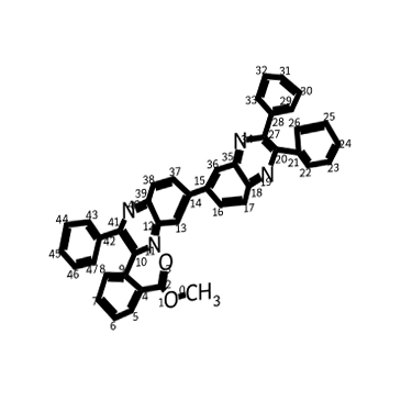 COC(=O)c1ccccc1-c1nc2cc(-c3ccc4nc(-c5ccccc5)c(-c5ccccc5)nc4c3)ccc2nc1-c1ccccc1